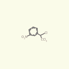 O=[N+]([O-])c1cccc(C(Cl)C(Cl)(Cl)Cl)c1